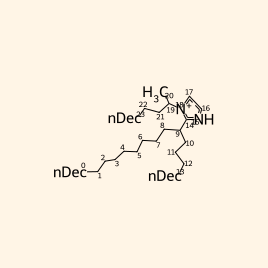 CCCCCCCCCCCCCCCCCCC(CCCCCCCCCCCCC)c1[nH]cc[n+]1C(C)CCCCCCCCCCCC